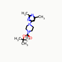 Cc1cc(N2CCN(C(=O)OC(C)(C)C)CC2)nc(C)n1